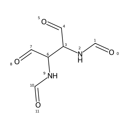 O=CNC(C=O)C(C=O)NC=O